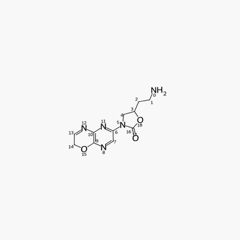 NCCC1CN(c2cnc3c(n2)N=CCO3)C(=O)O1